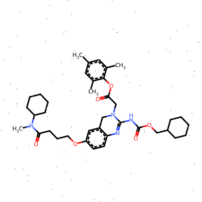 Cc1cc(C)c(OC(=O)CN2Cc3cc(OCCCC(=O)N(C)C4CCCCC4)ccc3N=C2NC(=O)OCC2CCCCC2)c(C)c1